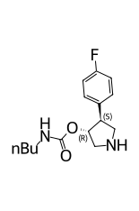 CCCCNC(=O)O[C@H]1CNC[C@@H]1c1ccc(F)cc1